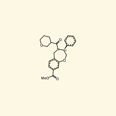 COC(=O)c1ccc2c(c1)OC[C@H](c1ccccc1)N(C(=O)C1CCCOC1)C2